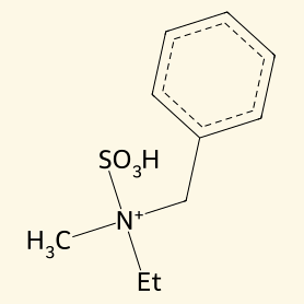 CC[N+](C)(Cc1ccccc1)S(=O)(=O)O